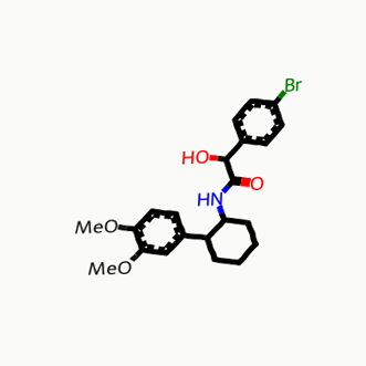 COc1ccc(C2CCCCC2NC(=O)C(O)c2ccc(Br)cc2)cc1OC